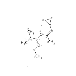 CCO[SiH](OC(C)=CC1CC1)C(C)C